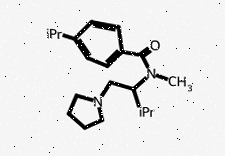 CC(C)c1ccc(C(=O)N(C)C(CN2CCCC2)C(C)C)cc1